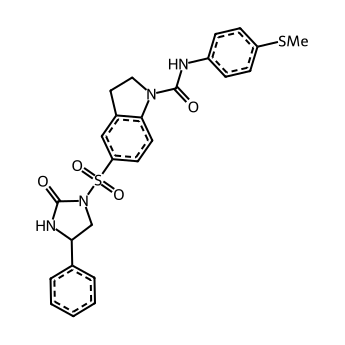 CSc1ccc(NC(=O)N2CCc3cc(S(=O)(=O)N4CC(c5ccccc5)NC4=O)ccc32)cc1